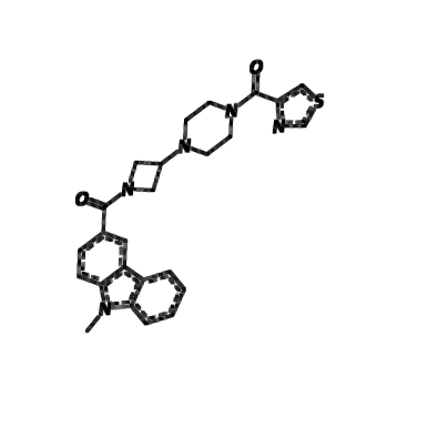 Cn1c2ccccc2c2cc(C(=O)N3CC(N4CCN(C(=O)c5cscn5)CC4)C3)ccc21